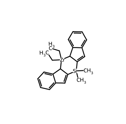 C[CH2][Zr]1([CH2]C)[CH]2C(=Cc3ccccc32)[Si](C)(C)C2=Cc3ccccc3[CH]21